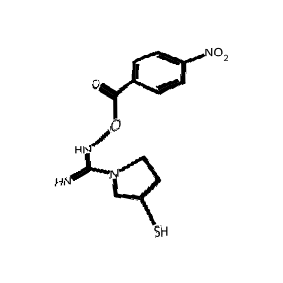 N=C(NOC(=O)c1ccc([N+](=O)[O-])cc1)N1CCC(S)C1